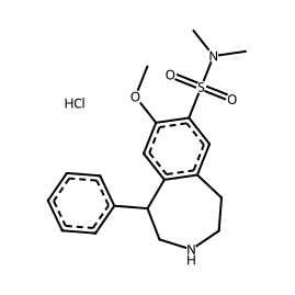 COc1cc2c(cc1S(=O)(=O)N(C)C)CCNCC2c1ccccc1.Cl